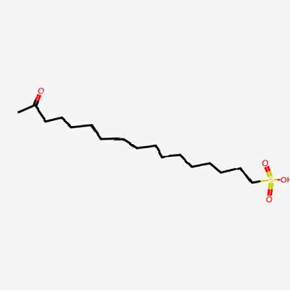 CC(=O)CCCCCCCCCCCCCCCS(=O)(=O)O